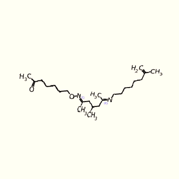 C=C(C)CCCCCC/N=C(\C)CC(C)C/C(C)=N/OCCCCCC(C)=O